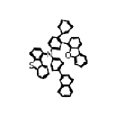 c1ccc(-c2ccc(N(c3ccc(-c4ccc5ccccc5c4)cc3)c3cccc4sc5ccccc5c34)cc2-c2cccc3c2oc2ccccc23)cc1